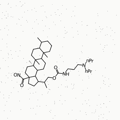 CCCN(CCC)CCCNC(=O)OCC(C)C1CCC2(C(=O)N=O)CC[C@]3(C)C(CCC4C5(C)CCCC(C)C5CCC43C)C12